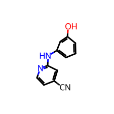 N#Cc1ccnc(Nc2cccc(O)c2)c1